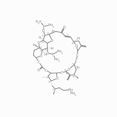 C=C1C[C@@H]2/C=C/C(=O)C[C@H]3OC4[C@@H](O[C@H]5CCC(CC(=O)CC6C(C[C@H]7O[C@@H](CCC1O2)C[C@@H](C)C7=C)O[C@H](C[C@H](C)CCPP)[C@@H]6C)O[C@@H]5[C@@H]4OP(P)P)[C@H]3OP(P)P